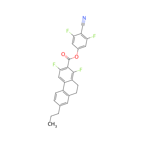 CCCc1ccc2c(c1)CCc1c-2cc(F)c(C(=O)Oc2cc(F)c(C#N)c(F)c2)c1F